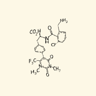 Cn1c(C(F)(F)F)c(-c2ccc(C[C@H](NC(=O)c3c(Cl)cccc3CN)C(=O)O)cc2)c(=O)n(C)c1=O